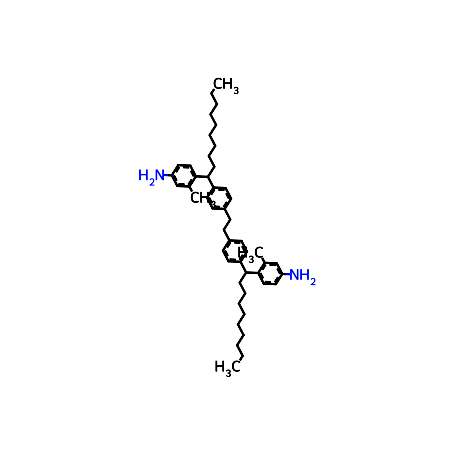 CCCCCCCCCC(c1ccc(CCc2ccc(C(CCCCCCCCC)c3ccc(N)cc3C)cc2)cc1)c1ccc(N)cc1C